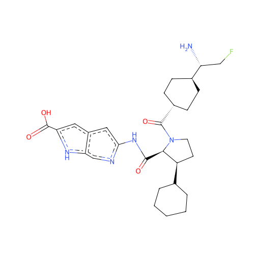 N[C@H](CF)[C@H]1CC[C@H](C(=O)N2CC[C@@H](C3CCCCC3)[C@H]2C(=O)Nc2cc3cc(C(=O)O)[nH]c3cn2)CC1